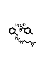 CN(C)CCCN=C=NCc1ccccc1.Cc1ccc(S(=O)(=O)O)cc1